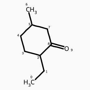 CCC1CCC(C)CC1=O